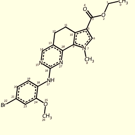 CCOC(=O)c1cn(C)c2c1CCc1cnc(Nc3ccc(Br)cc3OC)nc1-2